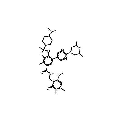 CSc1cc(C)[nH]c(=O)c1CNC(=O)c1cc(-c2cnc(N3CC(C)OC(C)C3)nc2)c2c(c1C)OC(C)(C1CCC(N(C)C)CC1)O2